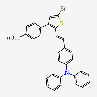 CCCCCCCCc1ccc(-c2cc(Br)sc2C=Cc2ccc(N(c3ccccc3)c3ccccc3)cc2)cc1